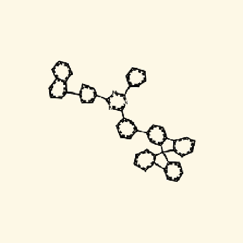 c1ccc(-c2nc(-c3ccc(-c4cccc5ccccc45)cc3)nc(-c3cccc(-c4ccc5c(c4)C4(c6ccccc6-c6ccccc64)c4ccccc4-5)c3)n2)cc1